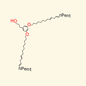 CCCCCC=CCC=CCCCCCCCCOc1cc(CCCO)cc(OCCCCCCCCC=CCC=CCCCCC)c1